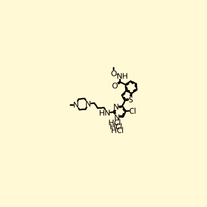 CONC(=O)c1cccc2sc(-c3nc(NCCCN4CCN(C)CC4)ncc3Cl)cc12.Cl.Cl.Cl